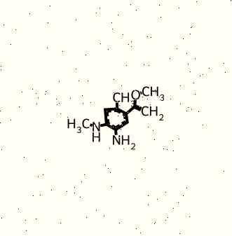 C=C(OC)c1cc(N)c(NC)cc1C